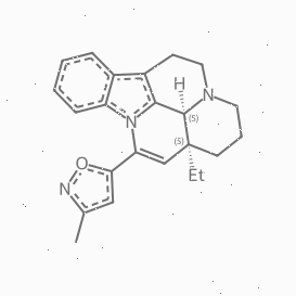 CC[C@@]12C=C(c3cc(C)no3)n3c4c(c5ccccc53)CCN(CCC1)[C@H]42